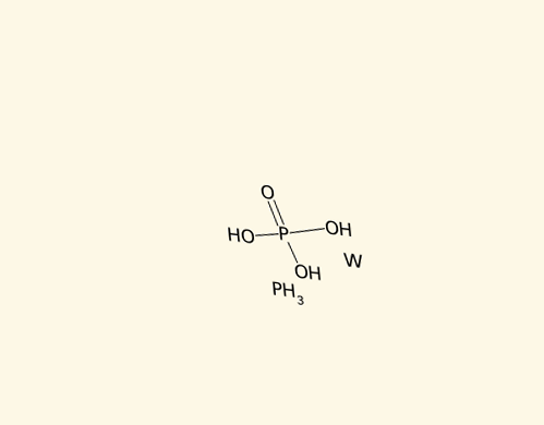 O=P(O)(O)O.P.[W]